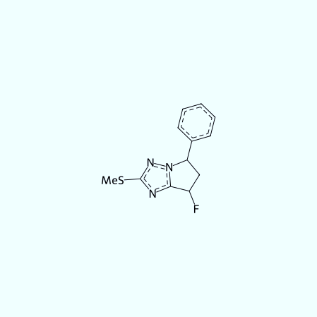 CSc1nc2n(n1)C(c1ccccc1)CC2F